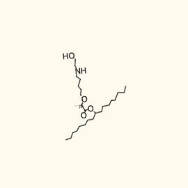 CCCCCCCCC(CCCCCCCC)OC(=O)[C@H](C)OCCCCCNCCO